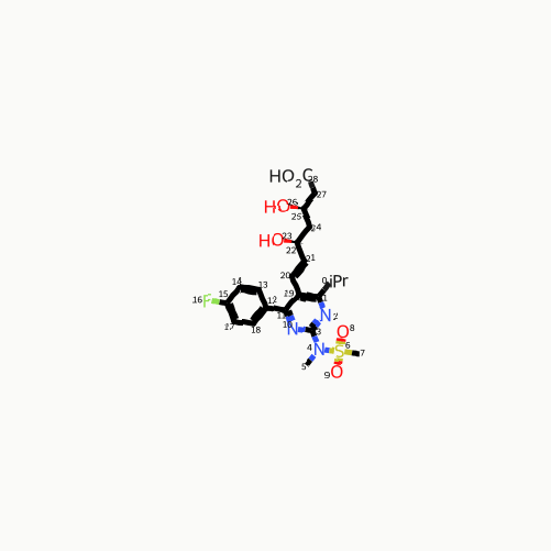 CC(C)c1nc(N(C)S(C)(=O)=O)nc(-c2ccc(F)cc2)c1C=C[C@@H](O)C[C@@H](O)CC(=O)O